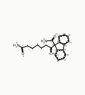 C=C(CCCCCC(N)=O)C1(C(N)=O)c2ccccc2-c2ccccc21